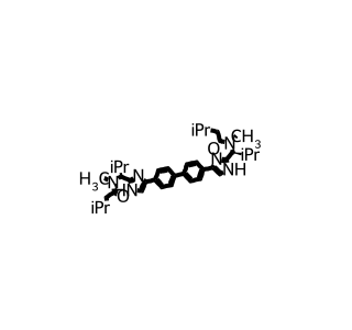 CC(C)CC(=O)N(C)[C@H](c1nc(-c2ccc(-c3ccc(-c4c[nH]c([C@H](C(C)C)N(C)C(=O)CC(C)C)n4)cc3)cc2)c[nH]1)C(C)C